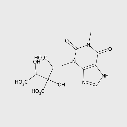 Cn1c(=O)c2[nH]cnc2n(C)c1=O.O=C(O)CC(O)(C(=O)O)C(O)C(=O)O